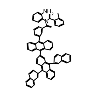 C=C(c1cccc(-c2c3ccccc3c(-c3ccc4c(-c5ccc6ccccc6c5)c5ccccc5c(-c5ccc6ccccc6c5)c4c3)c3ccccc23)c1)N(C(=C)c1ccccc1C)c1ccccc1N